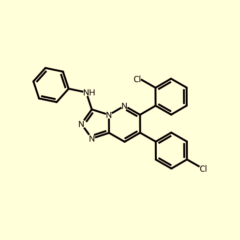 Clc1ccc(-c2cc3nnc(Nc4ccccc4)n3nc2-c2ccccc2Cl)cc1